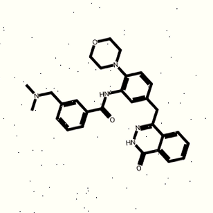 CN(C)Cc1cccc(C(=O)Nc2cc(Cc3n[nH]c(=O)c4ccccc34)ccc2N2CCOCC2)c1